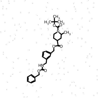 CC1CC(C(=O)OCc2cccc(CNC(=O)OCc3ccccc3)c2)CCN1C(=O)OC(C)(C)C